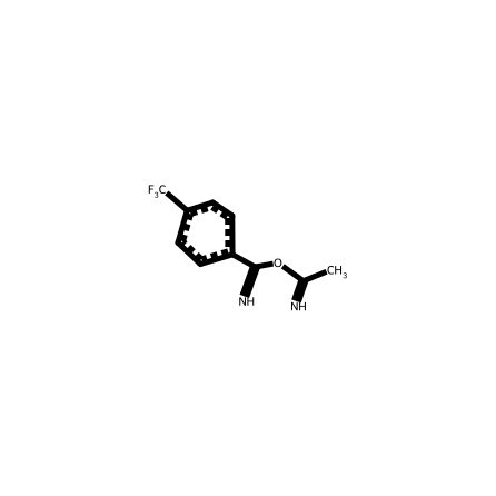 CC(=N)OC(=N)c1ccc(C(F)(F)F)cc1